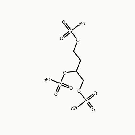 CCCS(=O)(=O)OCCC(COS(=O)(=O)CCC)OS(=O)(=O)CCC